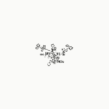 CC(C)(C)OC(=O)N[C@@H](CC(=O)OC1CCCCC1)C(=O)N[C@@H](CCCCNC(=O)OCc1ccccc1Cl)C(=O)N[C@@H](CC(=O)OC1CCCCC1)C(=O)N[C@@H](CCCCNC(=O)OCc1ccccc1Cl)C(=O)N[C@@H](CC(=O)O)C(=O)O